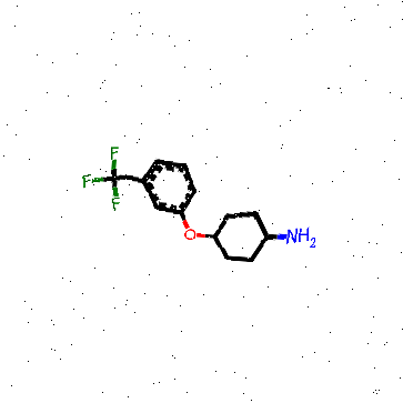 NC1CCC(Oc2cccc(C(F)(F)F)c2)CC1